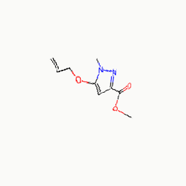 C=CCOc1cc(C(=O)OC)nn1C